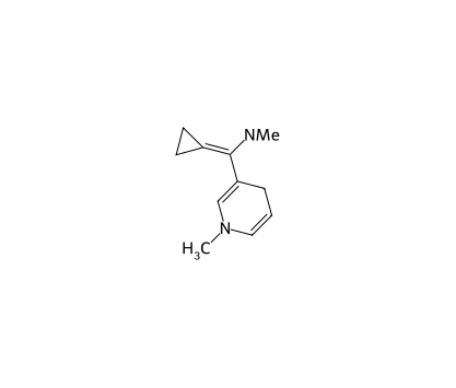 CNC(C1=CN(C)C=CC1)=C1CC1